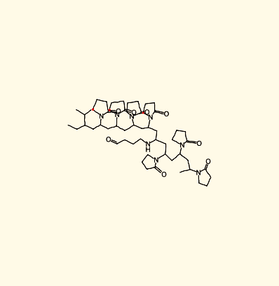 CCC(CC(CC(CC(CC(CC(CC(CC(CC(C)N1CCCC1=O)N1CCCC1=O)N1CCCC1=O)NCCCC=O)N1CCCC1=O)N1CCCC1=O)N1CCCC1=O)N1CCCC1=O)C(C)C